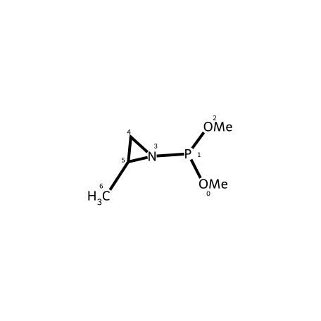 COP(OC)N1CC1C